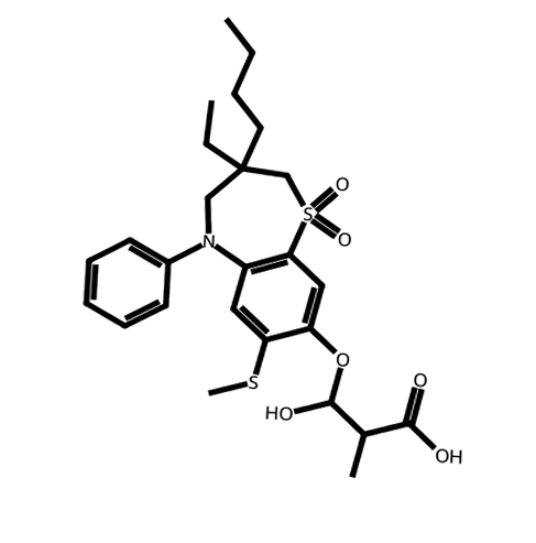 CCCCC1(CC)CN(c2ccccc2)c2cc(SC)c(OC(O)C(C)C(=O)O)cc2S(=O)(=O)C1